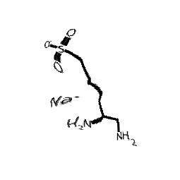 NCC(N)CCCS(=O)(=O)[O-].[Na+]